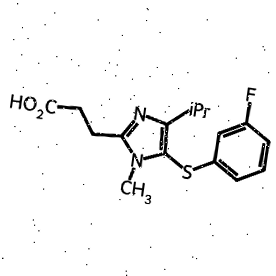 CC(C)c1nc(CCC(=O)O)n(C)c1Sc1cccc(F)c1